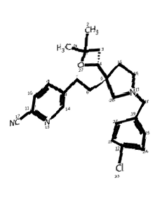 CC1(C)C[C@H]([C@]2(CCc3ccc(C#N)nc3)CCN(Cc3ccc(Cl)cc3)C2)O1